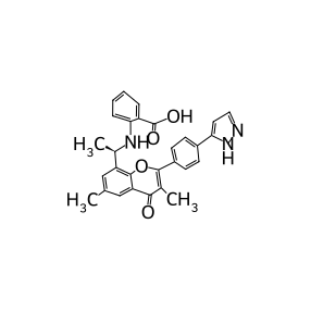 Cc1cc([C@@H](C)Nc2ccccc2C(=O)O)c2oc(-c3ccc(-c4ccn[nH]4)cc3)c(C)c(=O)c2c1